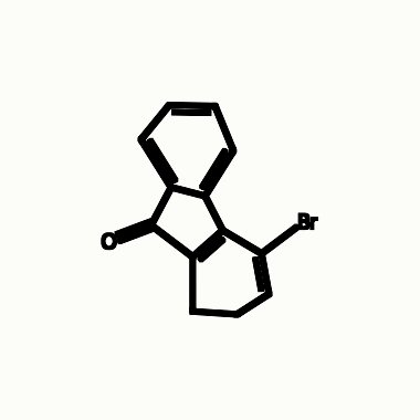 O=C1C2=C(C(Br)=CCC2)c2ccccc21